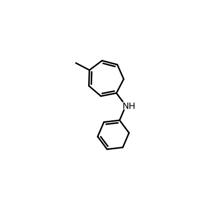 CC1=CC=C(NC2=CC=CCC2)CC=C1